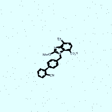 CCc1ccc(C(=O)O)c2c1nc(OC)n2Cc1ccc(-c2ccccc2C#N)cc1